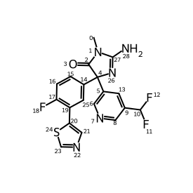 CN1C(=O)C(c2cncc(C(F)F)c2)(c2ccc(F)c(-c3cncs3)c2)N=C1N